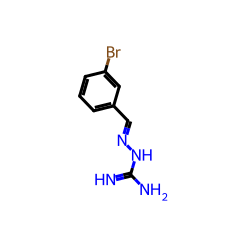 N=C(N)N/N=C/c1cccc(Br)c1